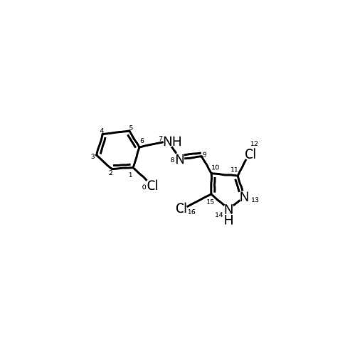 Clc1ccccc1NN=Cc1c(Cl)n[nH]c1Cl